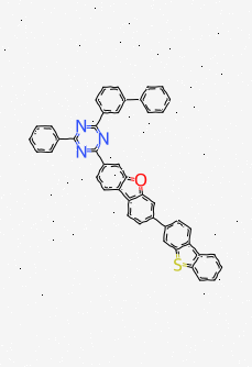 c1ccc(-c2cccc(-c3nc(-c4ccccc4)nc(-c4ccc5c(c4)oc4cc(-c6ccc7c(c6)sc6ccccc67)ccc45)n3)c2)cc1